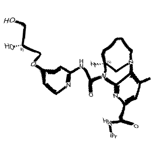 Cc1cc(C(=O)NC(C)C)nc2c1N1CCC[C@@H](C1)N2C(=O)Nc1cc(OC[C@H](O)CO)ccn1